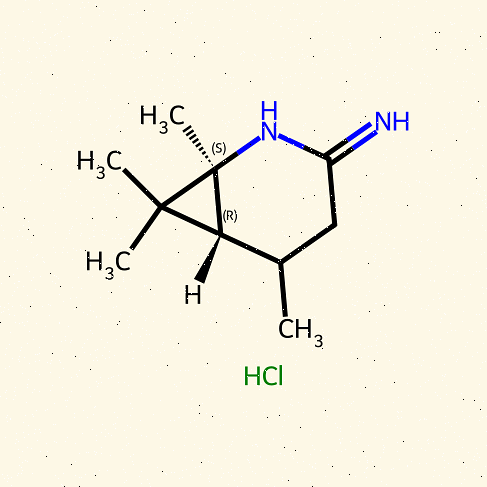 CC1CC(=N)N[C@@]2(C)[C@H]1C2(C)C.Cl